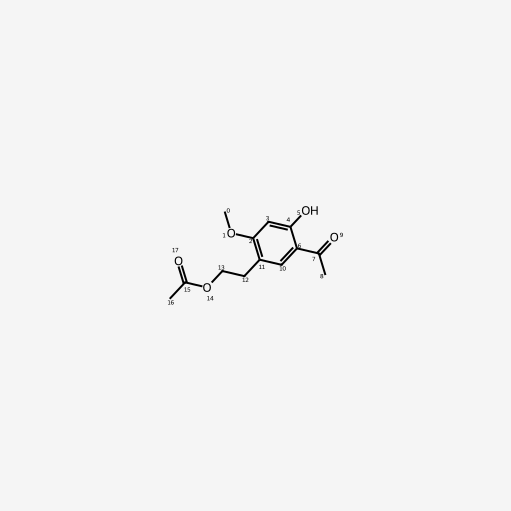 COc1cc(O)c(C(C)=O)cc1CCOC(C)=O